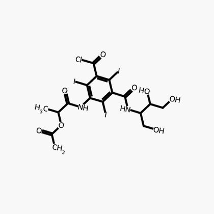 CC(=O)OC(C)C(=O)Nc1c(I)c(C(=O)Cl)c(I)c(C(=O)NC(CO)C(O)CO)c1I